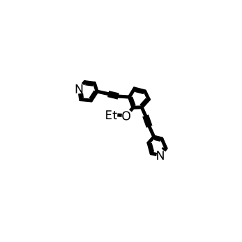 [CH2]COc1c(C#Cc2ccncc2)cccc1C#Cc1ccncc1